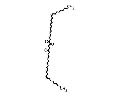 CCCCCCCC/C=C\CCCCCCCCCCCC(=O)CCC(=O)C(=O)CCCCCCCCCCC/C=C\CCCCCCCC